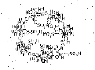 O=S(=O)(O)OC[C@H]1O[C@@H]2O[C@H]3[C@H](O)[C@@H](O)[C@@H](O[C@H]4[C@H](O)[C@@H](O)[C@@H](O[C@H]5[C@H](O)[C@@H](O)[C@@H](O[C@H]6[C@H](O)[C@@H](O)[C@@H](O[C@H]7[C@H](O)[C@@H](O)[C@@H](O[C@H]8[C@H](O)[C@@H](O)[C@@H](O[C@H]1[C@H](O)[C@H]2O)O[C@@H]8COS(=O)(=O)O)O[C@@H]7COS(=O)(=O)O)O[C@@H]6COS(=O)(=O)O)O[C@@H]5COS(=O)(=O)O)O[C@@H]4COS(=O)(=O)O)O[C@@H]3COS(=O)(=O)O